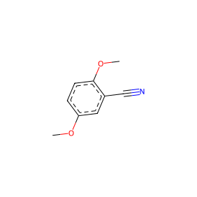 COc1ccc(OC)c(C#N)c1